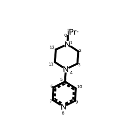 C[C](C)N1CCN(c2ccncc2)CC1